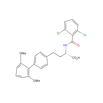 COc1cccc(OC)c1-c1ccc(CC[C@H](NC(=O)c2c(Cl)cccc2Cl)C(=O)O)cc1